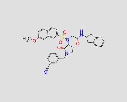 COc1ccc2ccc(S(=O)(=O)N(CC(=O)NC3Cc4ccccc4C3)[C@H]3CCN(Cc4cccc(C#N)c4)C3=O)cc2c1